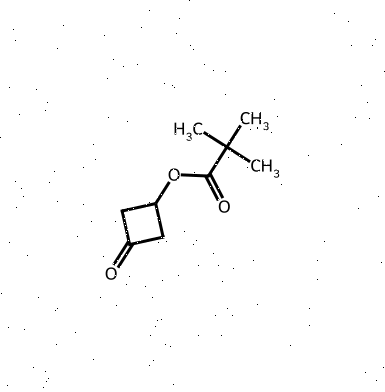 CC(C)(C)C(=O)OC1CC(=O)C1